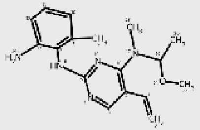 C=Cc1cnc(Nc2c(C)cccc2N)nc1N(C)C(C)OC